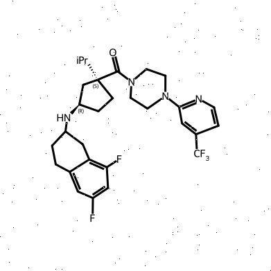 CC(C)[C@]1(C(=O)N2CCN(c3cc(C(F)(F)F)ccn3)CC2)CC[C@@H](NC2CCc3cc(F)cc(F)c3C2)C1